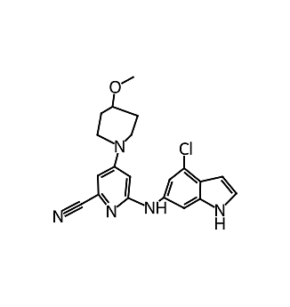 COC1CCN(c2cc(C#N)nc(Nc3cc(Cl)c4cc[nH]c4c3)c2)CC1